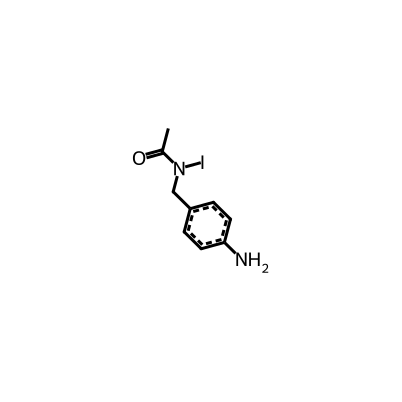 CC(=O)N(I)Cc1ccc(N)cc1